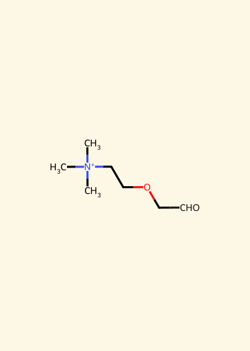 C[N+](C)(C)CCOCC=O